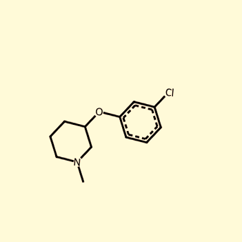 CN1CCCC(Oc2cccc(Cl)c2)C1